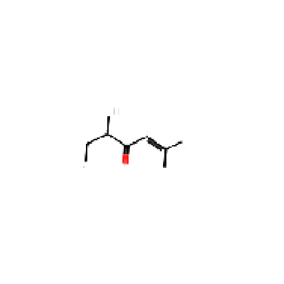 CCC(C)C(=O)C=C(C)C